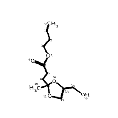 CCCCOC(=O)CCC1(C)OCC(CO)O1